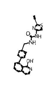 C#Cc1nc(NC(=O)NCc2ccc(-c3cccc4ccnc(O)c34)cc2)cs1